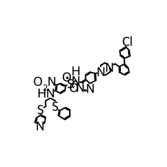 O=[N+]([O-])c1cc(S(=O)(=O)Nc2ncnc3cc(N4CCN(Cc5ccccc5-c5ccc(Cl)cc5)CC4)ccc23)ccc1NC(CCSc1ccncc1)CSc1ccccc1